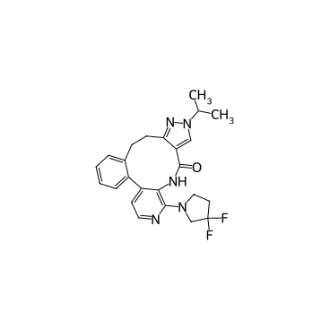 CC(C)n1cc2c(n1)CCc1ccccc1-c1ccnc(N3CCC(F)(F)C3)c1NC2=O